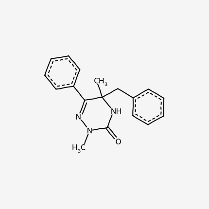 CN1N=C(c2ccccc2)C(C)(Cc2ccccc2)NC1=O